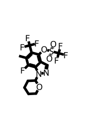 Cc1c(C(F)(F)F)c(OS(=O)(=O)C(F)(F)F)c2cnn(C3CCCCO3)c2c1F